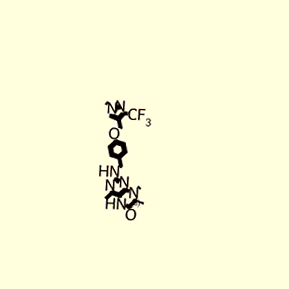 Cc1nc(NCc2ccc(OCc3cn(C)nc3C(F)(F)F)cc2)nc2c1NC(=O)[C@H](C)N2C